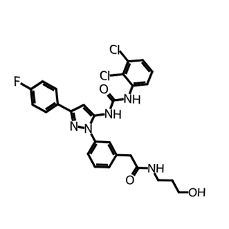 O=C(Cc1cccc(-n2nc(-c3ccc(F)cc3)cc2NC(=O)Nc2cccc(Cl)c2Cl)c1)NCCCO